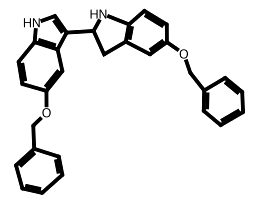 c1ccc(COc2ccc3c(c2)CC(c2c[nH]c4ccc(OCc5ccccc5)cc24)N3)cc1